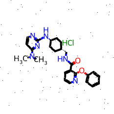 CN(C)c1ccnc(N[C@H]2CC[C@@H](CNC(=O)c3cccnc3Oc3ccccc3)CC2)n1.Cl